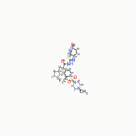 CN1CCN(S(=O)(=O)c2ccc(C(CC3CCCC3)C(=O)Nc3nc4ccc(Br)nc4s3)cc2C(F)(F)F)CC1